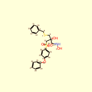 O=C(NO)C(O)(CSCc1ccccc1)CS(=O)(=O)c1ccc(Oc2ccccc2)cc1